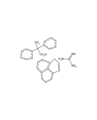 C1=Cc2cccc3cccc(c23)C1.CC(C(=O)O)(c1ccccc1)c1ccccc1.N=C(N)N